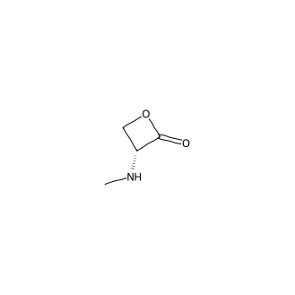 CN[C@@H]1COC1=O